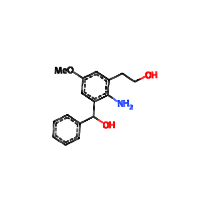 COc1cc(CCO)c(N)c(C(O)c2ccccc2)c1